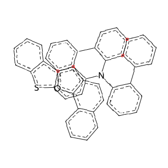 c1ccc(-c2ccccc2N(c2ccc3sc4ccccc4c3c2)c2ccccc2-c2cccc3oc4c5ccccc5ccc4c23)cc1